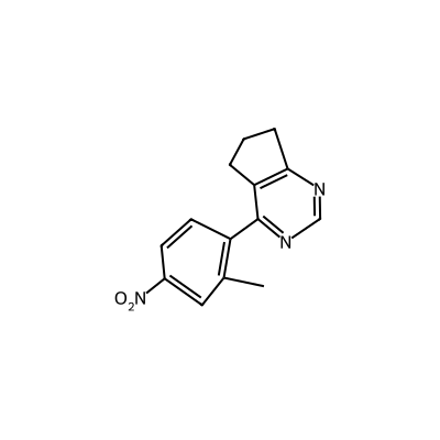 Cc1cc([N+](=O)[O-])ccc1-c1ncnc2c1CCC2